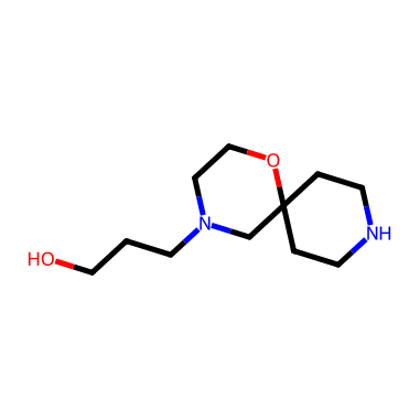 OCCCN1CCOC2(CCNCC2)C1